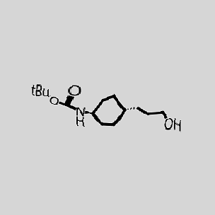 CC(C)(C)OC(=O)N[C@H]1CC[C@H](CCCO)CC1